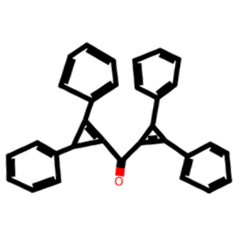 O=C(C1=C(c2ccccc2)C1c1ccccc1)C1=C(c2ccccc2)C1c1ccccc1